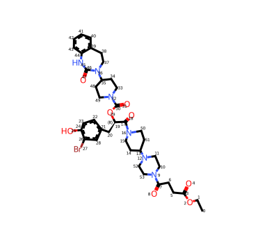 CCOC(=O)CCC(=O)N1CCN(C2CCN(C(=O)[C@@H](Cc3ccc(O)c(Br)c3)OC(=O)N3CCC(N4CCc5ccccc5NC4=O)CC3)CC2)CC1